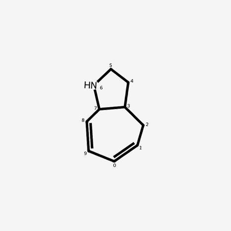 C1=CCC2CCNC2C=C1